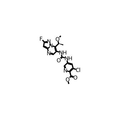 COC(=O)c1ncc(NC(=O)Nc2cnc3cc(F)nn3c2[C@H](C)OC)cc1Cl